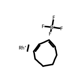 C1=C\CCCC\C=C/1.CC.F[B-](F)(F)F.[Rh+]